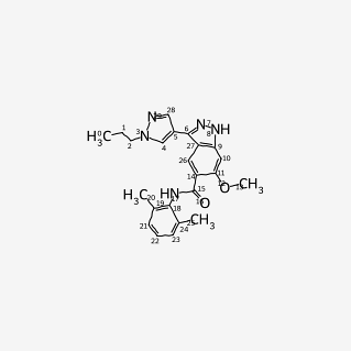 CCCn1cc(-c2n[nH]c3cc(OC)c(C(=O)Nc4c(C)cccc4C)cc23)cn1